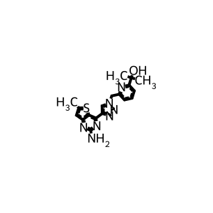 Cc1cc2nc(N)nc(-c3cn(Cc4cccc(C(C)(C)O)n4)nn3)c2s1